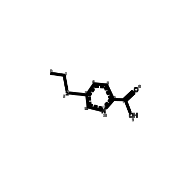 CCSc1ccc(C(=O)O)nc1